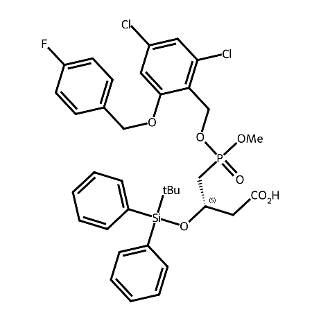 COP(=O)(C[C@H](CC(=O)O)O[Si](c1ccccc1)(c1ccccc1)C(C)(C)C)OCc1c(Cl)cc(Cl)cc1OCc1ccc(F)cc1